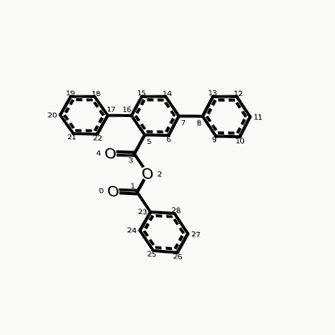 O=C(OC(=O)c1cc(-c2ccccc2)ccc1-c1ccccc1)c1ccccc1